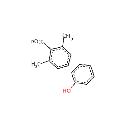 CCCCCCCCc1c(C)cccc1C.Oc1ccccc1